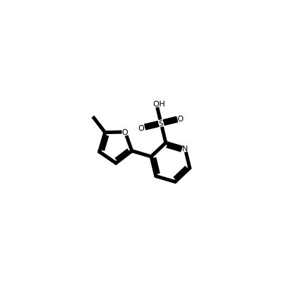 Cc1ccc(-c2cccnc2S(=O)(=O)O)o1